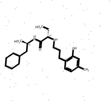 Cc1ccc(CCCN[C@@H](CC(=O)O)C(=O)N[C@@H](CC2CCCCC2)C(=O)O)c(O)c1